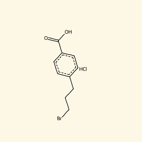 Cl.O=C(O)c1ccc(CCCBr)cc1